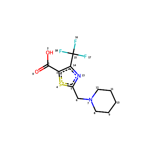 O=C(O)c1sc(CN2CCCCC2)nc1C(F)(F)F